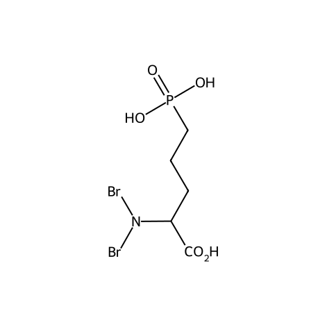 O=C(O)C(CCCP(=O)(O)O)N(Br)Br